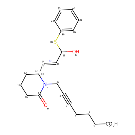 O=C(O)CCCC#CCN1C(=O)CCC[C@@H]1/C=C/C(O)Sc1ccccc1